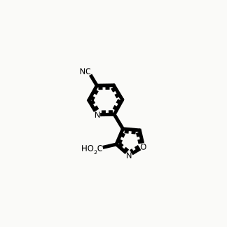 N#Cc1ccc(-c2conc2C(=O)O)nc1